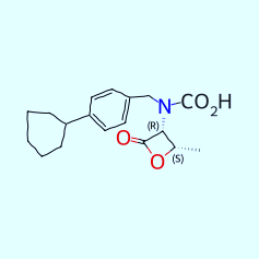 C[C@@H]1OC(=O)[C@@H]1N(Cc1ccc(C2CCCCC2)cc1)C(=O)O